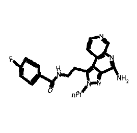 CCCn1nc2c(N)nc3cnccc3c2c1CCNC(=O)c1ccc(F)cc1